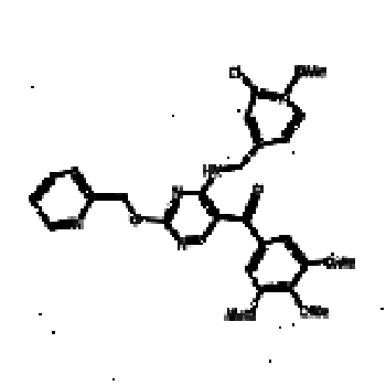 COc1ccc(CNc2nc(OCc3ccccn3)ncc2C(=O)c2cc(OC)c(OC)c(OC)c2)cc1Cl